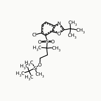 CC(C)(C)c1nc2ccc(Cl)c(S(=O)(=O)C(C)(C)CCO[Si](C)(C)C(C)(C)C)c2o1